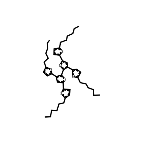 CCCCCCc1ccc(-c2cc(-c3ccc(CCCCCC)s3)c(-c3sc(-c4ccc(CCCCCC)s4)cc3-c3ccc(CCCCCC)s3)s2)s1